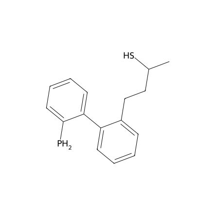 CC(S)CCc1ccccc1-c1ccccc1P